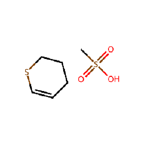 C1=CSCCC1.CS(=O)(=O)O